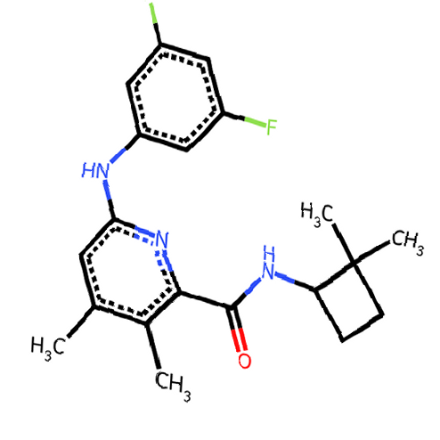 Cc1cc(Nc2cc(F)cc(F)c2)nc(C(=O)NC2CCC2(C)C)c1C